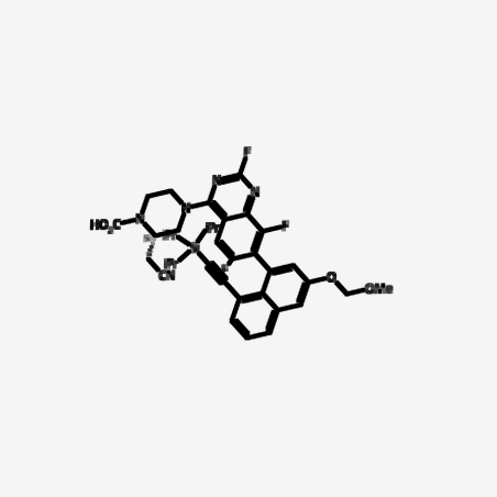 COCOc1cc(-c2c(F)cc3c(N4CCN(C(=O)O)[C@@H](CC#N)C4)nc(F)nc3c2F)c2c(C#C[Si](C(C)C)(C(C)C)C(C)C)cccc2c1